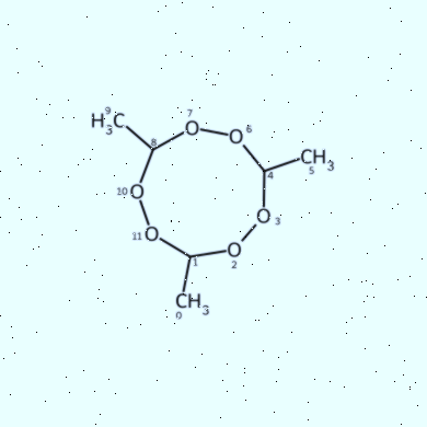 CC1OOC(C)OOC(C)OO1